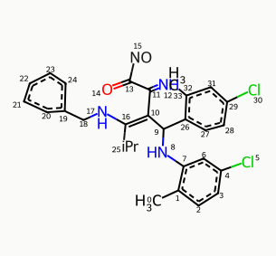 Cc1ccc(Cl)cc1NC(/C(C(=N)C(=O)N=O)=C(/NCc1ccccc1)C(C)C)c1ccc(Cl)cc1C